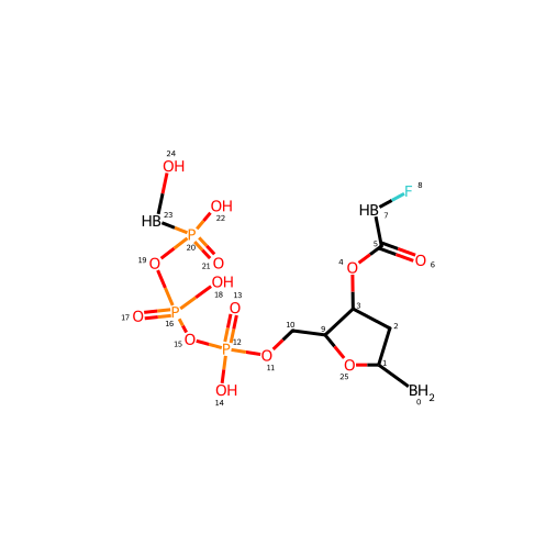 BC1CC(OC(=O)BF)C(COP(=O)(O)OP(=O)(O)OP(=O)(O)BO)O1